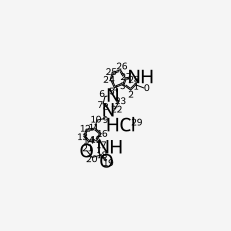 Cc1cc2c(N3CCN(CCc4ccc5c(c4)NC(=O)CO5)CC3)cccc2[nH]1.Cl